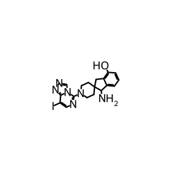 NC1c2cccc(O)c2CC12CCN(c1ncc(I)c3nncn13)CC2